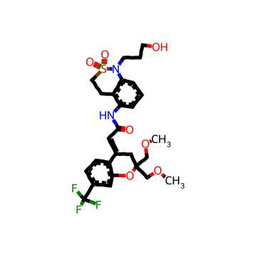 COCC1(COC)C/C(=C\C(=O)Nc2cccc3c2CCS(=O)(=O)N3CCCO)c2ccc(C(F)(F)F)cc2O1